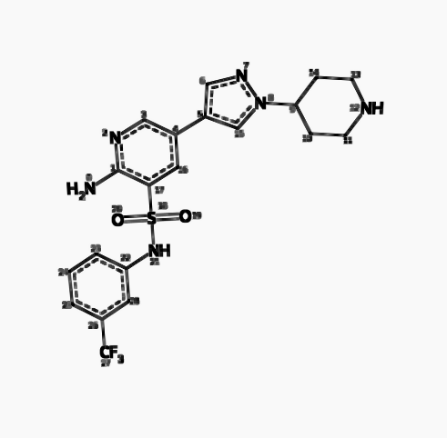 Nc1ncc(-c2cnn(C3CCNCC3)c2)cc1S(=O)(=O)Nc1cccc(C(F)(F)F)c1